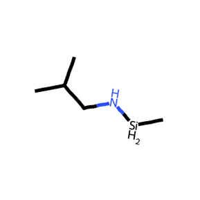 C[SiH2]NCC(C)C